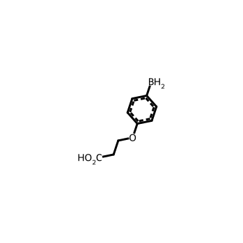 Bc1ccc(OCCC(=O)O)cc1